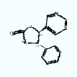 O=C1N[C@@H](c2cccnc2)[C@H](c2cccnc2)O1